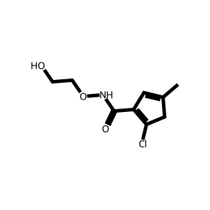 CC1=CC(C(=O)NOCCO)=C(Cl)C1